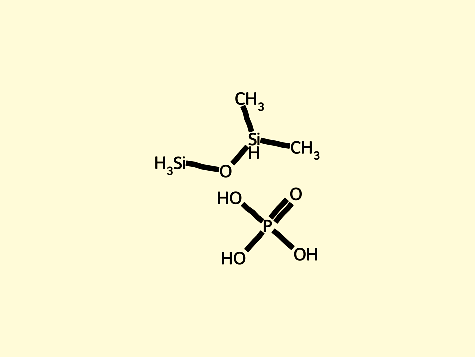 C[SiH](C)O[SiH3].O=P(O)(O)O